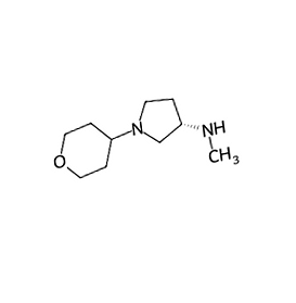 CN[C@H]1CCN(C2CCOCC2)C1